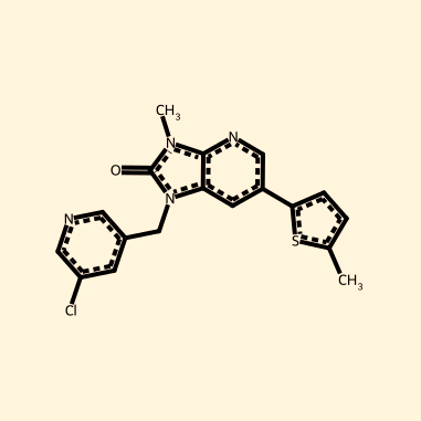 Cc1ccc(-c2cnc3c(c2)n(Cc2cncc(Cl)c2)c(=O)n3C)s1